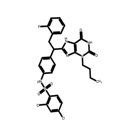 CCCCn1c(=O)[nH]c(=O)c2[nH]c(C(Cc3ccccc3F)c3ccc(NS(=O)(=O)c4ccc(Cl)cc4Cl)cc3)nc21